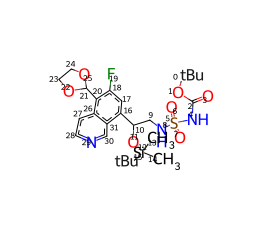 CC(C)(C)OC(=O)NS(=O)(=O)NCC(O[Si](C)(C)C(C)(C)C)c1cc(F)c(C2OCCO2)c2ccncc12